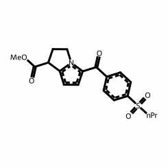 CCCS(=O)(=O)c1ccc(C(=O)c2ccc3n2CCC3C(=O)OC)cc1